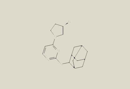 N[C@@H]1CCN(c2ccnc(NC3C4CC5CC(C4)CC3C5)n2)C1